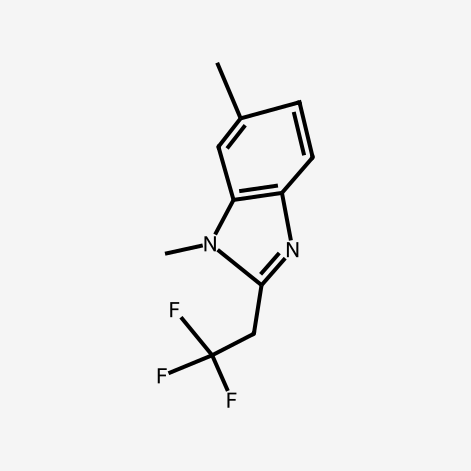 Cc1ccc2nc(CC(F)(F)F)n(C)c2c1